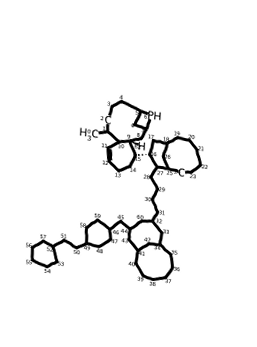 CC1CCCC2CC(C[C@H]3C1C=CCCC3[C@@H]1CC3CCCCCCC(C3)C1CCCCC1CC3CCCCCCC(C3)CC(CC3CCC(CCC4CCCCC4)CC3)C1)P2